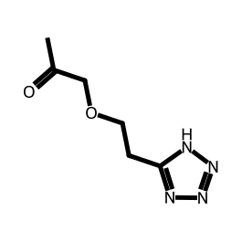 CC(=O)COCCc1nnn[nH]1